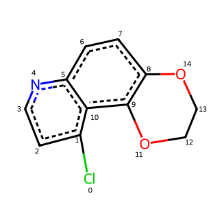 Clc1ccnc2ccc3c(c12)OCCO3